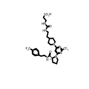 O=C(NCCC1CCN(c2cc(N3CCC[C@H]3C(=O)NCCc3ccc(C(F)(F)F)cc3)nc(C(F)(F)F)n2)CC1)NCCS(=O)(=O)O